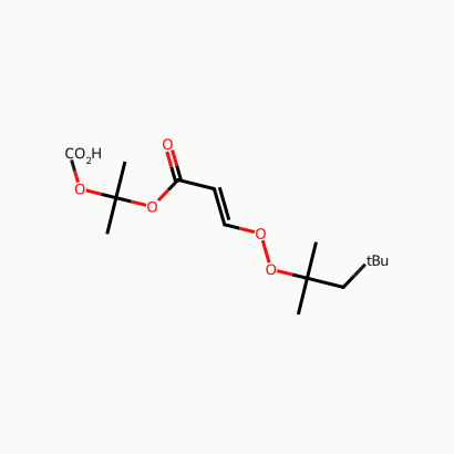 CC(C)(C)CC(C)(C)OOC=CC(=O)OC(C)(C)OC(=O)O